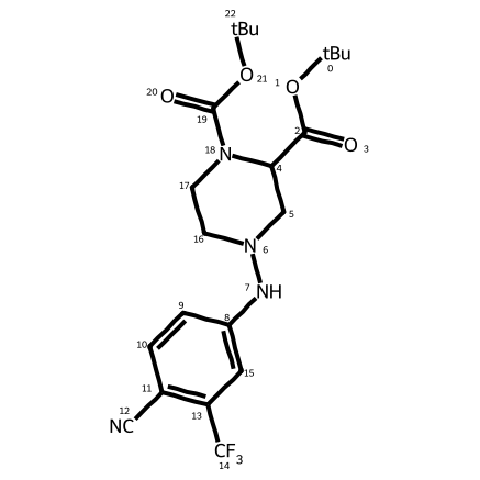 CC(C)(C)OC(=O)C1CN(Nc2ccc(C#N)c(C(F)(F)F)c2)CCN1C(=O)OC(C)(C)C